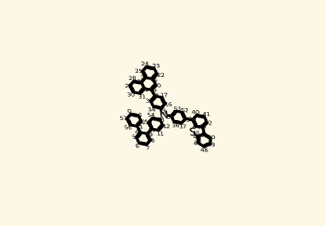 c1ccc(-c2ccccc2-c2ccc(N(c3ccc(-c4cc5ccccc5c5ccccc45)cc3)c3ccc(-c4cccc5c4sc4ccccc45)cc3)cc2)cc1